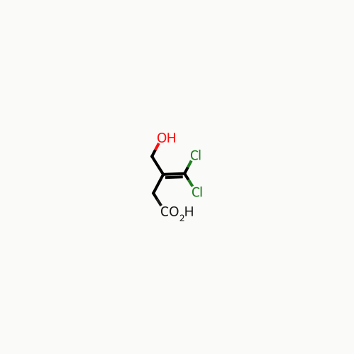 O=C(O)CC(CO)=C(Cl)Cl